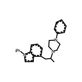 CC(Cc1cccc2c1ccn2C(C)C)N1CCN(c2ccccc2)CC1